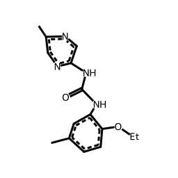 CCOc1ccc(C)cc1NC(=O)Nc1cnc(C)cn1